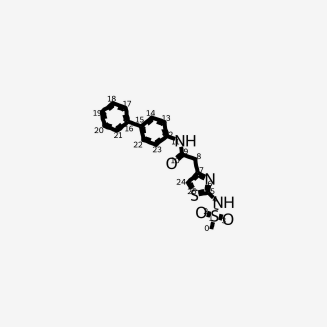 CS(=O)(=O)Nc1nc(CC(=O)Nc2ccc(-c3ccccc3)cc2)cs1